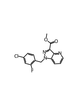 COC(=O)c1nn(Cc2ccc(Cl)cc2F)c2cccnc12